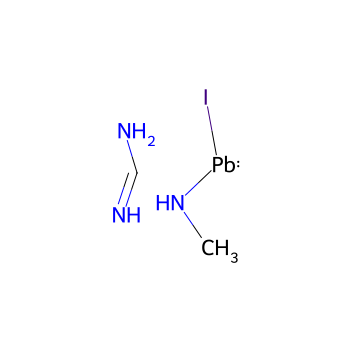 C[NH][Pb][I].N=CN